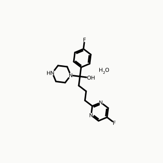 O.OC(CCCc1ncc(F)cn1)(c1ccc(F)cc1)N1CCNCC1